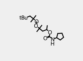 CC(CC(C)(C)OOC(C)(C)CC(C)(C)C)OC(=O)NC1CCCC1